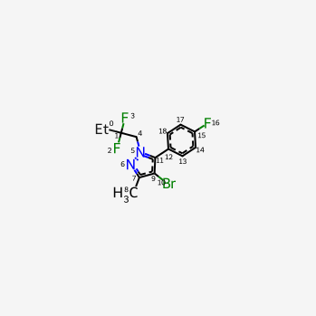 CCC(F)(F)Cn1nc(C)c(Br)c1-c1ccc(F)cc1